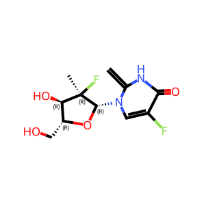 C=C1NC(=O)C(F)=CN1[C@@H]1O[C@H](CO)[C@@H](O)[C@@]1(C)F